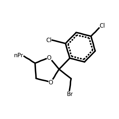 CCCC1COC(CBr)(c2ccc(Cl)cc2Cl)O1